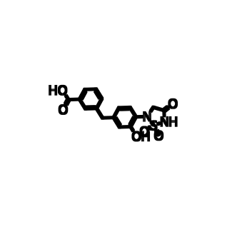 O=C1CN(c2ccc(Cc3cccc(C(=O)O)c3)cc2O)S(=O)(=O)N1